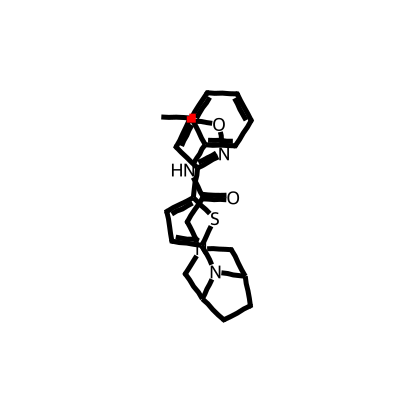 Cc1ccccc1NC(=O)CN1CC2CCC(C1)N2c1ccc(-c2ccon2)s1